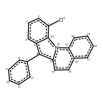 Clc1cccc2c(-c3ccccc3)c3ccc4ccccc4n3c12